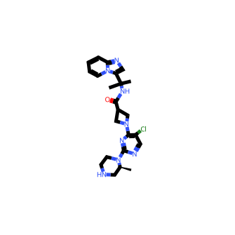 C[C@H]1CNCCN1c1ncc(Cl)c(N2CC(C(=O)NC(C)(C)c3cnc4ccccn34)C2)n1